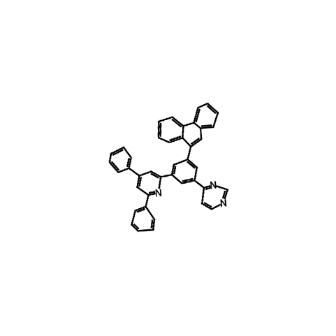 c1ccc(-c2cc(-c3ccccc3)nc(-c3cc(-c4ccncn4)cc(-c4cc5ccccc5c5ccccc45)c3)c2)cc1